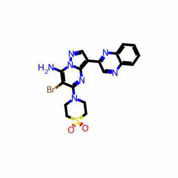 Nc1c(Br)c(N2CCS(=O)(=O)CC2)nc2c(-c3cnc4ccccc4n3)cnn12